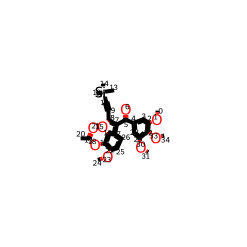 COc1cc(C(=O)c2c(C#C[Si](C)(C)C)oc3c(OC(C)=O)c(OC)ccc23)cc(OC)c1OC